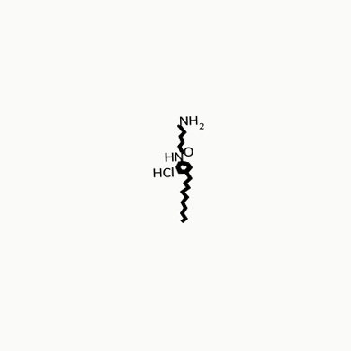 CCCCCCCCCCc1ccc(NC(=O)CCCCCN)cc1.Cl